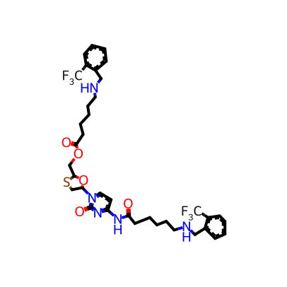 O=C(CCCCCNCc1ccccc1C(F)(F)F)Nc1ccn(C2CSC(COC(=O)CCCCCNCc3ccccc3C(F)(F)F)O2)c(=O)n1